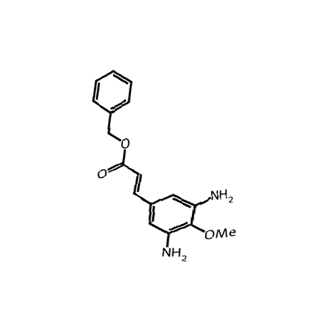 COc1c(N)cc(/C=C/C(=O)OCc2ccccc2)cc1N